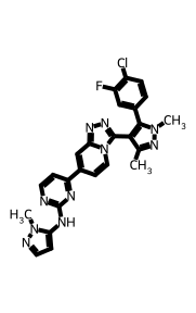 Cc1nn(C)c(-c2ccc(Cl)c(F)c2)c1-c1nnc2cc(-c3ccnc(Nc4ccnn4C)n3)ccn12